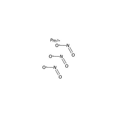 O=N[O-].O=N[O-].O=N[O-].[Pm+3]